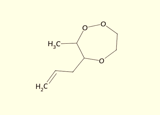 C=CCC1OCCOOC1C